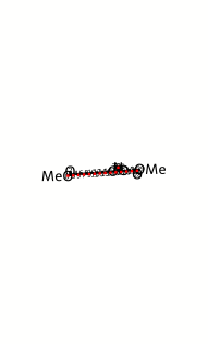 COC(=O)CCCCCC=CCCCCCCCCOCC(COCCCCC(=O)OC)N(C)C